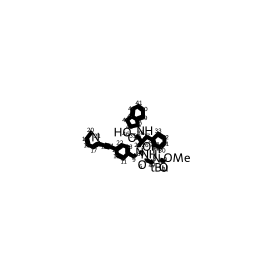 COC(=O)N[C@H](C(=O)NN(Cc1ccc(C#Cc2ccccn2)cc1)C[C@@](O)(Cc1ccccc1)C(=O)N[C@H]1c2ccccc2C[C@H]1O)C(C)(C)C